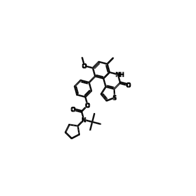 COc1cc(C)c2[nH]c(=O)c3sccc3c2c1-c1cccc(OC(=O)N(C2CCCC2)C(C)(C)C)c1